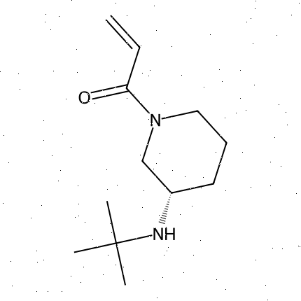 C=CC(=O)N1CCC[C@H](NC(C)(C)C)C1